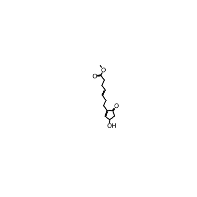 COC(=O)CCC=CCCC1=CC(O)CC1=O